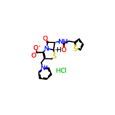 Cl.O=C(Cc1cccs1)N[C@@H]1C(=O)N2C(C(=O)[O-])=C(C[n+]3ccccc3)CS[C@H]12